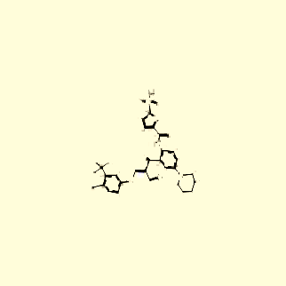 N=C/C(=C\Nc1ccc(Cl)c(C(F)(F)F)c1)C(=O)c1cc(N2CCCCC2)ccc1NC(=O)c1ccc(S(N)(=O)=O)o1